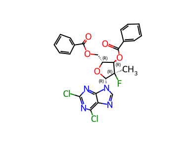 C[C@@]1(F)[C@H](OC(=O)c2ccccc2)[C@@H](COC(=O)c2ccccc2)O[C@H]1n1cnc2c(Cl)nc(Cl)nc21